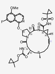 COc1cc(F)cc2c(O[C@@H]3C[C@H]4C(=O)N[C@]5(C(=O)NS(=O)(=O)C6(C)CC6)C[C@@H]5/C=C\CC[C@@H](C)C[C@@H](C)[C@H](NC(=O)OCC5(C)CC5)C(=O)N4C3)nccc12